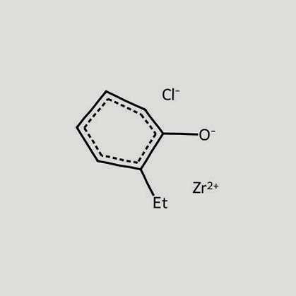 CCc1ccccc1[O-].[Cl-].[Zr+2]